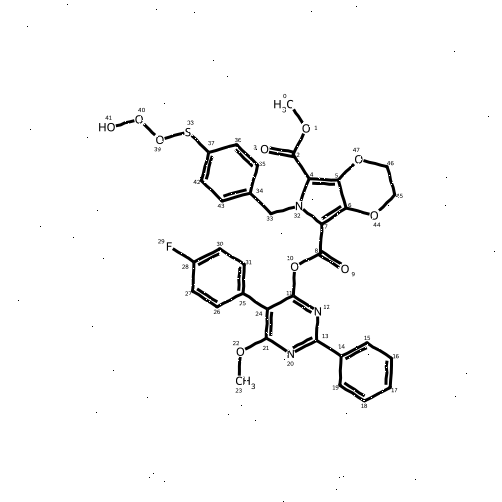 COC(=O)c1c2c(c(C(=O)Oc3nc(-c4ccccc4)nc(OC)c3-c3ccc(F)cc3)n1Cc1ccc(SOOO)cc1)OCCO2